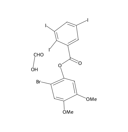 COc1cc(Br)c(OC(=O)c2cc(I)cc(I)c2I)cc1OC.O=CO